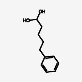 OC(O)CCCCc1ccccc1